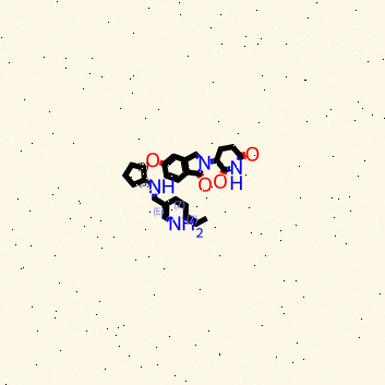 C\C=C/C=C\C(=C/N)CN[C@H]1CCC[C@H]1Oc1ccc2c(c1)CN(C1CCC(=O)NC1=O)C2=O